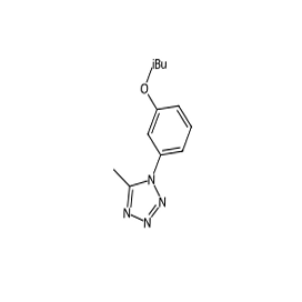 CCC(C)Oc1cccc(-n2nnnc2C)c1